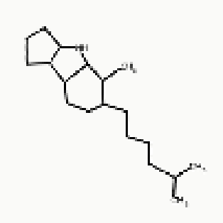 CC(C)CCCCC1CCC2C3CCCC3NC2C1C